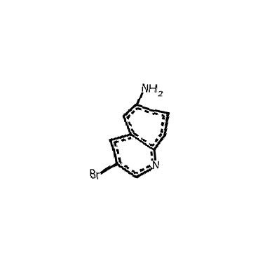 Nc1ccc2ncc(Br)cc2c1